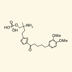 COc1ccc(CCCCC(=O)c2ccc(CCC(C)(N)COP(=O)(O)O)s2)cc1OC